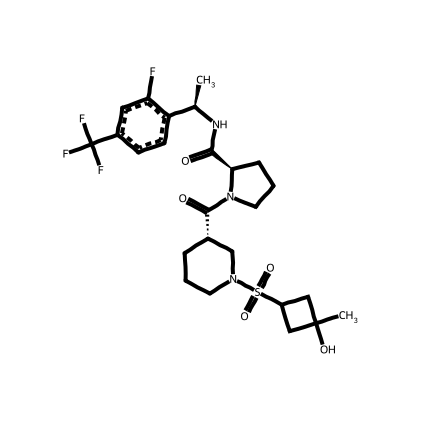 C[C@@H](NC(=O)[C@H]1CCCN1C(=O)[C@H]1CCCN(S(=O)(=O)C2CC(C)(O)C2)C1)c1ccc(C(F)(F)F)cc1F